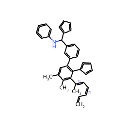 C=C/C=C\C=C(/C)c1c(C)c(C)cc(-c2cccc(C(NC3=CC=C=C=C3)C3=C=CC=C3)c2)c1C1=C=CC=C1